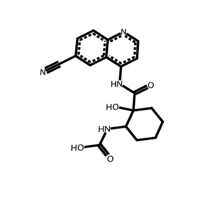 N#Cc1ccc2nccc(NC(=O)C3(O)CCCCC3NC(=O)O)c2c1